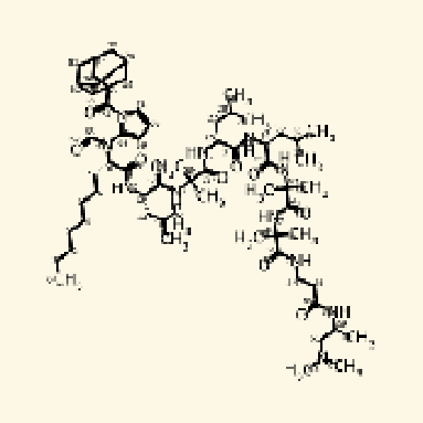 CCCCCCCC[C@@H](C(=O)N[C@@H](CC(C)C)C(=O)NC(C)(C)C(=O)N[C@@H](CC(C)C)C(=O)N[C@@H](CC(C)C)C(=O)NC(C)(C)C(=O)NC(C)(C)C(=O)NCCC(=O)N[C@@H](C)CN(C)C)N(C=O)c1cccn1C(=O)C12CC3CC(CC(C3)C1)C2